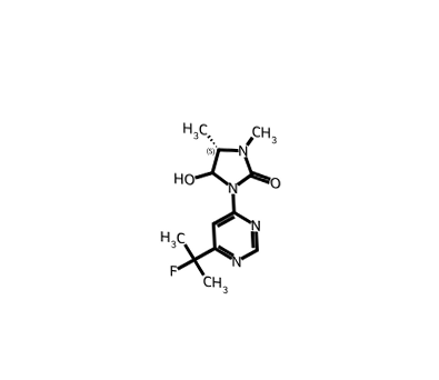 C[C@H]1C(O)N(c2cc(C(C)(C)F)ncn2)C(=O)N1C